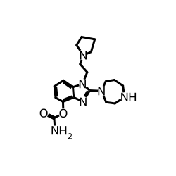 NC(=O)Oc1cccc2c1nc(N1CCCNCC1)n2CCN1CCCC1